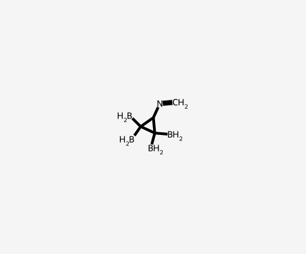 BC1(B)C(N=C)C1(B)B